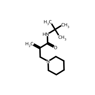 C=C(CN1CCCCC1)C(=O)NC(C)(C)C